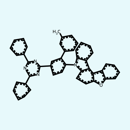 Cc1cccc(-c2cc(-c3nc(-c4ccccc4)nc(-c4ccccc4)n3)ccc2-n2c3ccccc3c3c4c(ccc32)oc2ccccc24)c1